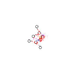 OC[C@H]1OC[C@H](O)[C@H](Nc2cc(OCc3ccccc3)cc(OCc3ccccc3)c2)[C@@]1(O)S[C@@]1(O)[C@@H](CO)OC[C@H](O)[C@@H]1Nc1cc(OCc2ccccc2)cc(OCc2ccccc2)c1